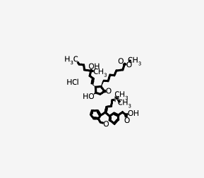 CCCCC(C)(O)C/C=C/[C@H]1[C@H](O)CC(=O)[C@@H]1CCCCCCC(=O)OC.CN(C)CC/C=C1/c2ccccc2COc2ccc(CC(=O)O)cc21.Cl